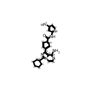 CCCc1ccnc(NC(=O)c2ccc(-c3nc(C4CCCCC4)n4ccnc(N)c34)cc2)c1